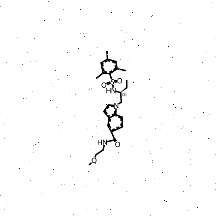 CC[C@@H](Cn1ccc2cc(C(=O)NCCOC)ccc21)NS(=O)(=O)c1c(C)cc(C)cc1C